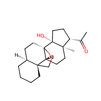 CC(=O)[C@H]1CC[C@]2(O)[C@@]34CC[C@@H]5CCCC[C@]5(CO3)[C@H]4CC[C@]12C